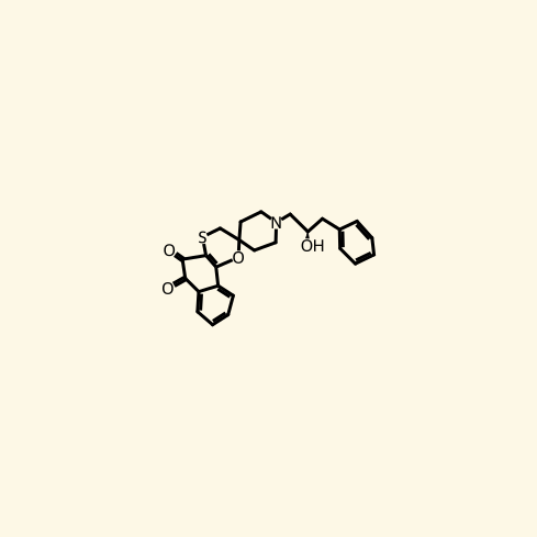 O=C1C(=O)c2ccccc2C2=C1SCC1(CCN(C[C@H](O)Cc3ccccc3)CC1)O2